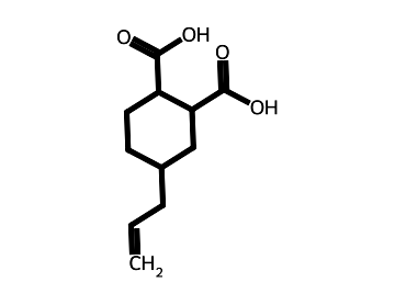 C=CCC1CCC(C(=O)O)C(C(=O)O)C1